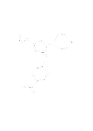 CC(C)c1ccc(SN2CC(C3CC3)N=C2N2CCNCC2)cc1